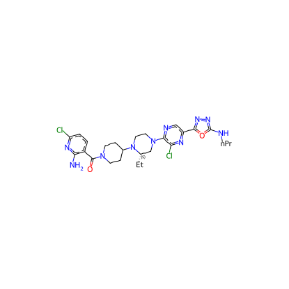 CCCNc1nnc(-c2cnc(N3CCN(C4CCN(C(=O)c5ccc(Cl)nc5N)CC4)[C@@H](CC)C3)c(Cl)n2)o1